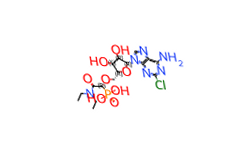 CCN(CC)C(=O)[C@H](OC[C@H]1O[C@@H](n2cnc3c(N)nc(Cl)nc32)[C@H](O)[C@@H]1O)P(=O)(O)O